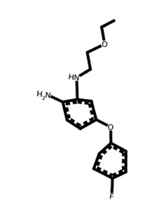 CCOCCNc1cc(Oc2ccc(F)cc2)ccc1N